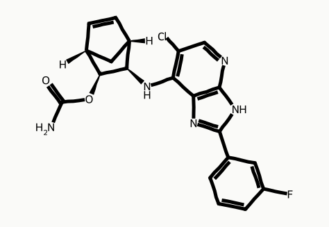 NC(=O)O[C@@H]1[C@H](Nc2c(Cl)cnc3[nH]c(-c4cccc(F)c4)nc23)[C@H]2C=C[C@@H]1C2